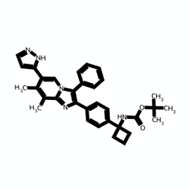 Cc1c(-c2ccn[nH]2)cn2c(-c3ccccc3)c(-c3ccc(C4(NC(=O)OC(C)(C)C)CCC4)cc3)nc2c1C